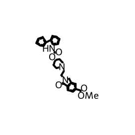 COC(=O)c1ccc2c(c1)CN(CCN1CCC(OC(=O)Nc3ccccc3-c3ccccc3)CC1)C2=O